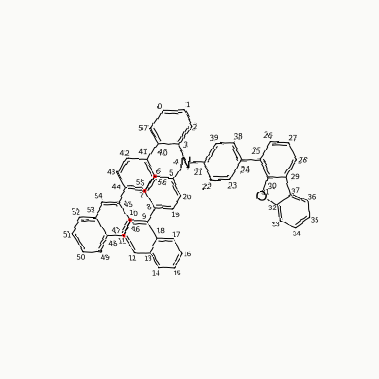 c1ccc(N(c2ccc(-c3cccc4ccccc34)cc2)c2ccc(-c3cccc4c3oc3ccccc34)cc2)c(-c2ccc(-c3ccc4ccccc4c3)cc2)c1